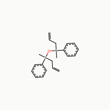 C=CC[Si](C)(O[Si](C)(CC=C)c1ccccc1)c1ccccc1